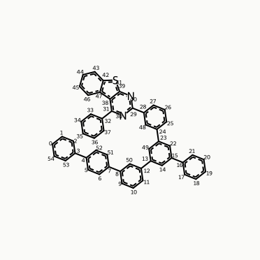 c1ccc(-c2ccc(-c3cccc(-c4cc(-c5ccccc5)cc(-c5cccc(-c6nc(-c7ccccc7)c7c(n6)sc6ccccc67)c5)c4)c3)cc2)cc1